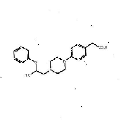 CC(CN1CCN(c2ccc(CC(=O)O)cc2)CC1)Oc1ccccc1